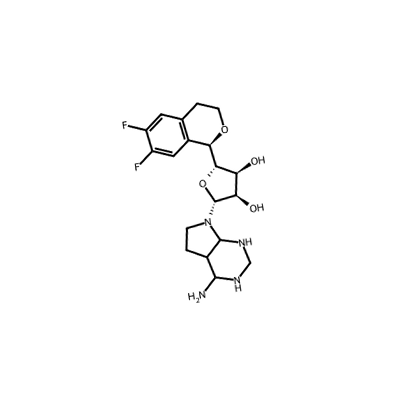 NC1NCNC2C1CCN2[C@@H]1O[C@H]([C@@H]2OCCc3cc(F)c(F)cc32)[C@@H](O)[C@H]1O